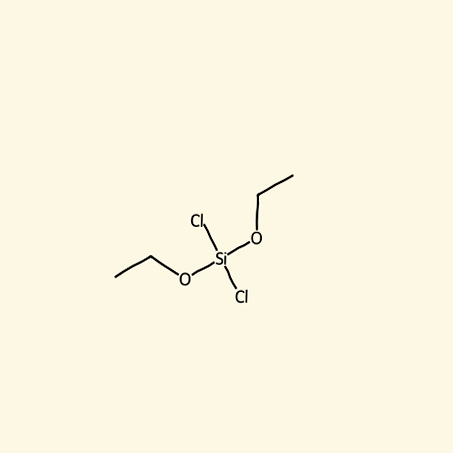 CCO[Si](Cl)(Cl)OCC